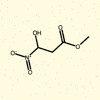 COC(=O)CC(O)[N+](=O)[O-]